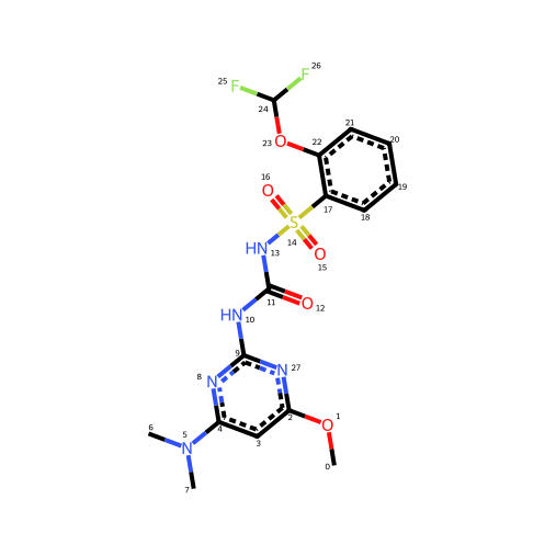 COc1cc(N(C)C)nc(NC(=O)NS(=O)(=O)c2ccccc2OC(F)F)n1